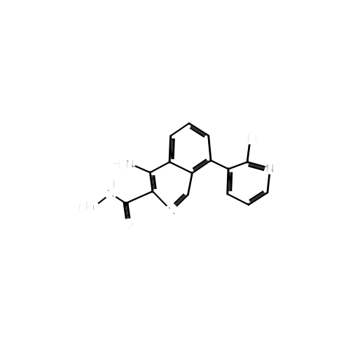 CCCNC(=O)c1ncc2c(-c3cccnc3CC)cccc2c1N